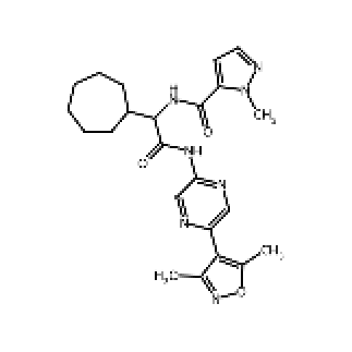 Cc1noc(C)c1-c1cnc(NC(=O)C(NC(=O)c2ccnn2C)C2CCCCCC2)cn1